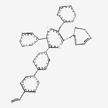 C=Cc1ccc(-c2ccc(-c3nc(C4=CC=CCC4)c(-c4ccccc4)nc3-c3ccccc3)cc2)cc1